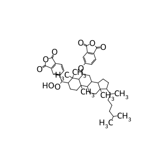 CC(C)CCCC(C)C1CCC2C3CC(Oc4ccc5c(c4)C(=O)OC5=O)C4C(C)(C)C(C(OO)c5ccc6c(c5)C(=O)OC6=O)CCC4(C)C3CCC12C